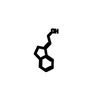 OCC=C1CCc2ccccc21